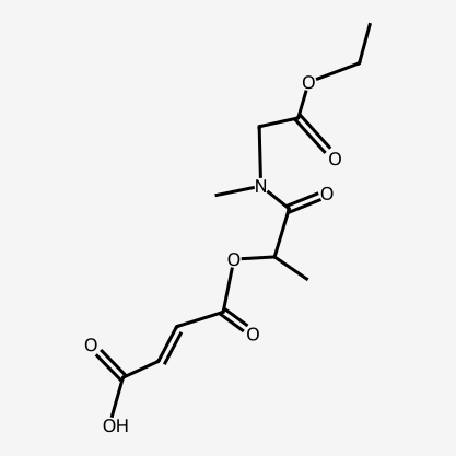 CCOC(=O)CN(C)C(=O)C(C)OC(=O)C=CC(=O)O